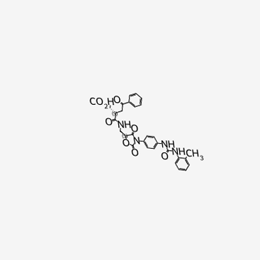 Cc1ccccc1NC(=O)Nc1ccc(N2C(=O)O[C@@H](CNC(=O)[C@H](CC(=O)O)CC(=O)c3ccccc3)C2=O)cc1